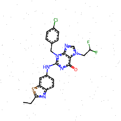 CCc1nc2ccc(Nc3nc(=O)c4c(ncn4CC(F)F)n3Cc3ccc(Cl)cc3)cc2s1